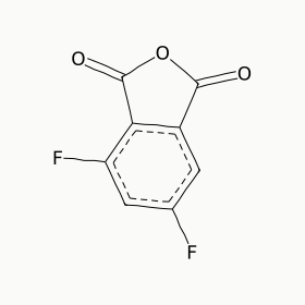 O=C1OC(=O)c2c(F)cc(F)cc21